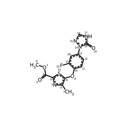 COC(=O)c1nc(C)c(Oc2ccc(-n3nc[nH]c3=O)cc2F)s1